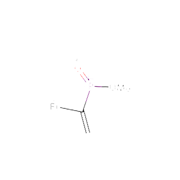 C=C(CC)[PH](=O)OC